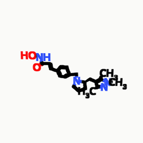 Cc1nn(C)c(C)c1C[C@H]1CCCN1Cc1ccc(/C=C/C(=O)NO)cc1